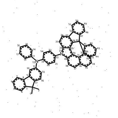 CC1(C)c2ccccc2-c2cc(N(c3ccccc3)c3ccc(-n4c5ccc6c7c5c5c8c(cccc8ccc54)C7(c4ccccc4)c4ccccc4-6)cc3)ccc21